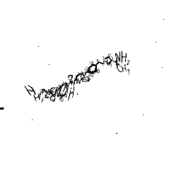 CC(N)[C@@H]1CCN(CCc2ccc(-n3ccc(NC(=O)N4CCN(C(=O)C(C)(C)N)CC4)nc3=O)cc2)C1